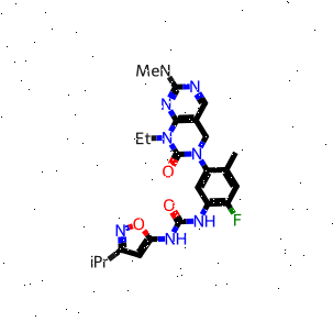 CCN1C(=O)N(c2cc(NC(=O)Nc3cc(C(C)C)no3)c(F)cc2C)Cc2cnc(NC)nc21